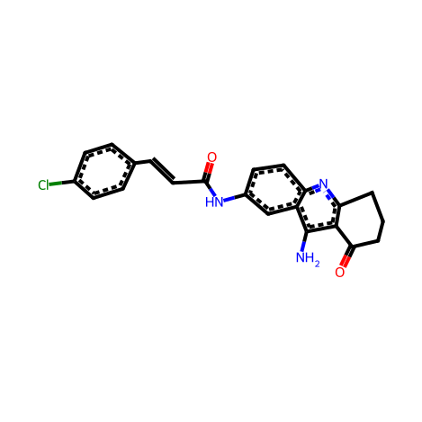 Nc1c2c(nc3ccc(NC(=O)C=Cc4ccc(Cl)cc4)cc13)CCCC2=O